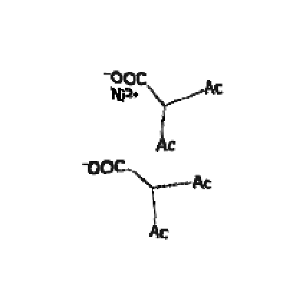 CC(=O)C(C(C)=O)C(=O)[O-].CC(=O)C(C(C)=O)C(=O)[O-].[Ni+2]